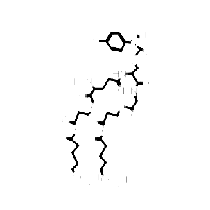 NC(CCC(=O)NC(CSC(=O)N(O)c1ccc(Br)cc1)C(=O)NCC(=O)OCCC(=O)OC(=O)CCCCC(=O)O)C(=O)OCCC(=O)OC(=O)CCCCC(=O)O